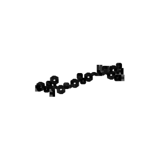 O=C(NC(c1ccccc1)c1cccc(OCc2ccc(C(=O)Oc3ccc(CCNCC(O)c4ccc(O)c5[nH]c(=O)ccc45)cc3)cc2)c1)OC1CN2CCC1CC2